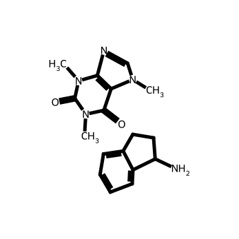 Cn1c(=O)c2c(ncn2C)n(C)c1=O.NC1CCc2ccccc21